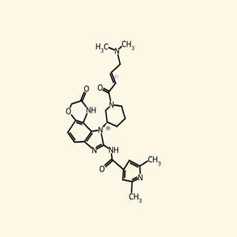 Cc1cc(C(=O)Nc2nc3ccc4c(c3n2[C@@H]2CCCN(C(=O)/C=C/CN(C)C)C2)NC(=O)CO4)cc(C)n1